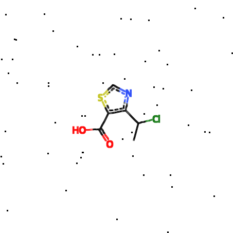 CC(Cl)c1ncsc1C(=O)O